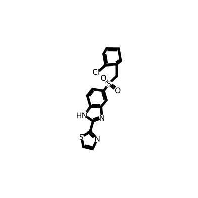 O=S(=O)(Cc1ccccc1Cl)c1ccc2[nH]c(-c3nccs3)nc2c1